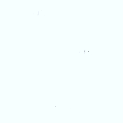 C\C=C/C=C(\C=C/CC)C(C)C